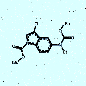 CCN(C(=O)OC(C)(C)C)c1ccc2c(c1)c(Cl)cn2C(=O)OC(C)(C)C